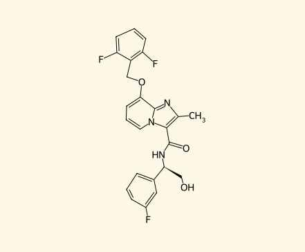 Cc1nc2c(OCc3c(F)cccc3F)cccn2c1C(=O)N[C@@H](CO)c1cccc(F)c1